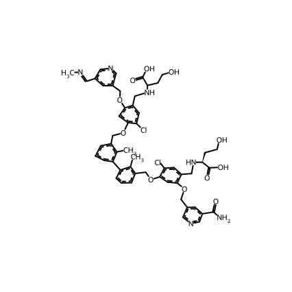 C/N=C/c1cncc(COc2cc(OCc3cccc(-c4cccc(COc5cc(OCc6cncc(C(N)=O)c6)c(CN[C@@H](CCO)C(=O)O)cc5Cl)c4C)c3C)c(Cl)cc2CNC(CCO)C(=O)O)c1